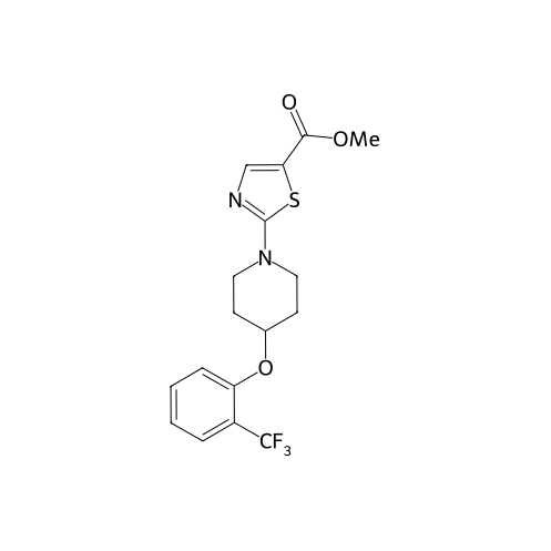 COC(=O)c1cnc(N2CCC(Oc3ccccc3C(F)(F)F)CC2)s1